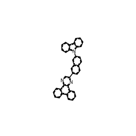 c1ccc2c(c1)c1ccccc1c1nc(-c3ccc4ccc(-n5c6ccccc6c6ccccc65)cc4c3)cnc21